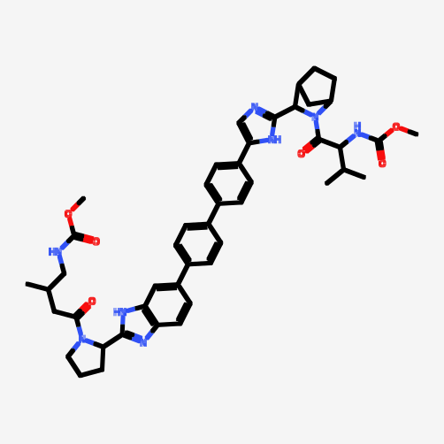 COC(=O)NCC(C)CC(=O)N1CCCC1c1nc2ccc(-c3ccc(-c4ccc(-c5cnc(C6C7CCC(C7)N6C(=O)C(NC(=O)OC)C(C)C)[nH]5)cc4)cc3)cc2[nH]1